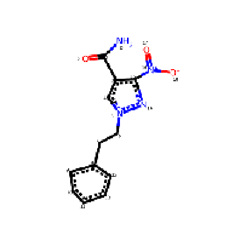 NC(=O)c1cn(CCc2ccccc2)nc1[N+](=O)[O-]